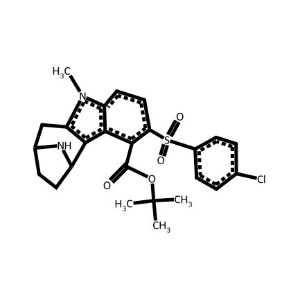 Cn1c2c(c3c(C(=O)OC(C)(C)C)c(S(=O)(=O)c4ccc(Cl)cc4)ccc31)C1CCC(C2)N1